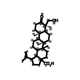 C=C(C)C1CCC2(C(=O)O)CC[C@]3(C)C(CCC4[C@@]5(C)CCC(=O)[C@@](C)(CO)C5CC[C@]43C)C12